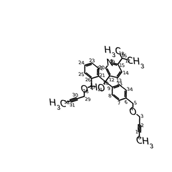 CC#CCOCc1ccc(C(O)(c2ccc(C(C)C)nc2)c2ccccc2COCC#CC)cc1